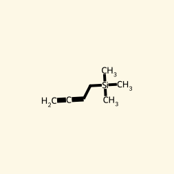 C=C=CC[Si](C)(C)C